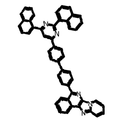 c1ccc2c(-c3cc(-c4ccc(-c5ccc(-c6nc7c(nc8ccccn87)c7ccccc67)cc5)cc4)nc(-c4cccc5ccccc45)n3)cccc2c1